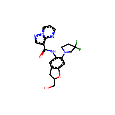 O=C(Nc1cc2c(cc1N1CCC(F)(F)C1)OC(CO)C2)c1cnn2cccnc12